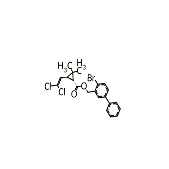 CC1(C)[C@H](C=C(Cl)Cl)[C@H]1C(=O)OCc1cc(-c2ccccc2)ccc1Br